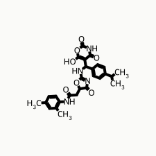 Cc1ccc(NC(=O)CC2OC(NC(c3ccc(C(C)C)cc3)c3c(O)oc(=O)[nH]c3=O)=NC2=O)c(C)c1